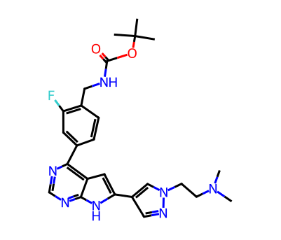 CN(C)CCn1cc(-c2cc3c(-c4ccc(CNC(=O)OC(C)(C)C)c(F)c4)ncnc3[nH]2)cn1